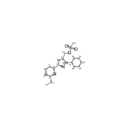 CSc1nccc(-c2cc(COS(C)(=O)=O)n(-c3ccccc3)n2)n1